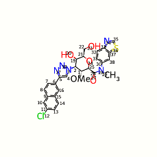 CO[C@@H]1[C@@H](n2cc(-c3ccc4cc(Cl)ccc4c3)nn2)[C@@H](O)[C@@H](CO)O[C@H]1C(=O)N(C)c1ccc2ncsc2c1